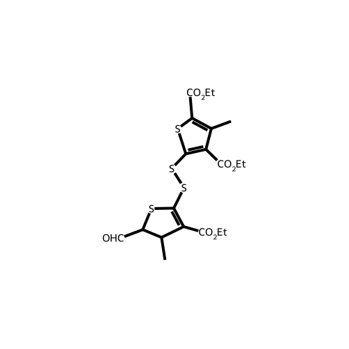 CCOC(=O)C1=C(SSc2sc(C(=O)OCC)c(C)c2C(=O)OCC)SC(C=O)C1C